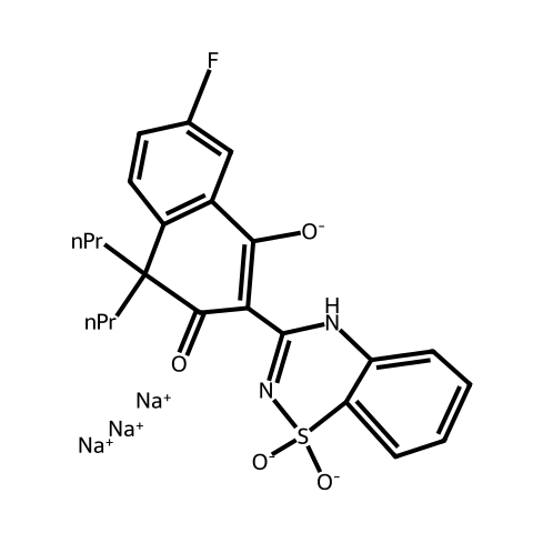 CCCC1(CCC)C(=O)C(C2=NS([O-])([O-])c3ccccc3N2)=C([O-])c2cc(F)ccc21.[Na+].[Na+].[Na+]